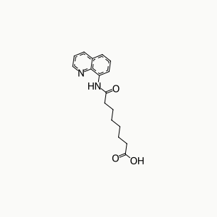 O=C(O)CCCCCCC(=O)Nc1cccc2cccnc12